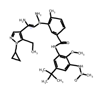 CCc1c(/C(N)=C/N(N)c2cc(C(=O)Nc3cc(C(C)(C)C)cc(N[S+](C)[O-])c3OC)ccc2C)cnn1C1CC1